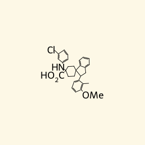 COc1cccc(C2Cc3ccccc3C23CCC(Nc2cccc(Cl)c2)(C(=O)O)CC3)c1C